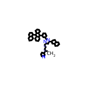 C=C/C(=C\C=C\c1cc(-c2ccc3ccccc3c2)nc(-c2cccc(-c3c4ccccc4c(-c4cccc5ccccc45)c4ccccc34)c2)n1)c1cccnc1